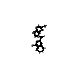 CC(c1cc(F)c2ncccc2c1)n1cnc2ncc(Br)nc21